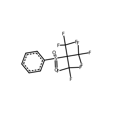 O=S(=O)(c1ccccc1)C(C(F)(F)F)(C(F)(F)F)C(F)(F)F